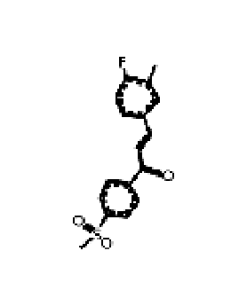 Cc1cc(/C=C/C(=O)c2ccc(S(C)(=O)=O)cc2)ccc1F